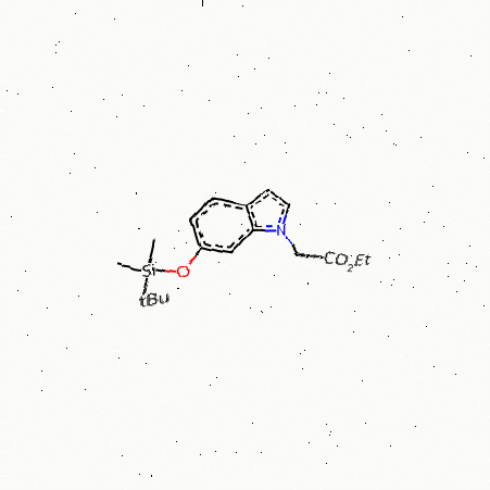 CCOC(=O)Cn1ccc2ccc(O[Si](C)(C)C(C)(C)C)cc21